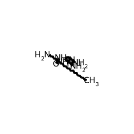 CCCCCCCCCCCCCCCCNC(=O)[C@@H](N)CCCCN.Nc1nc2ccccc2nc1N